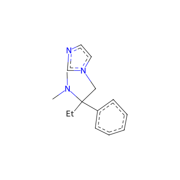 CCC(Cn1ccnc1)(c1ccccc1)N(C)C